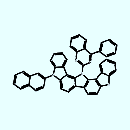 c1ccc(-c2nc(-n3c4c(ccc5oc6ccccc6c54)c4ccc5c(c6ccccc6n5-c5ccc6ccccc6c5)c43)nc3ccccc23)cc1